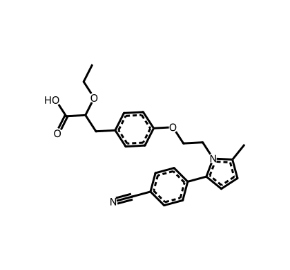 CCOC(Cc1ccc(OCCn2c(C)ccc2-c2ccc(C#N)cc2)cc1)C(=O)O